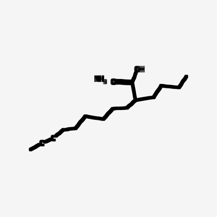 CCCCCCCCCC(CCCC)C(=O)O.N